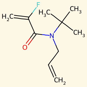 C=CCN(C(=O)C(=C)F)C(C)(C)C